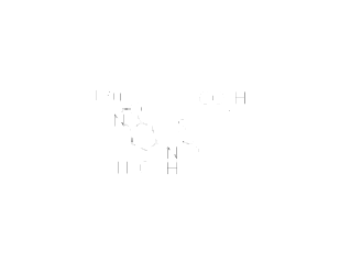 Cc1cc2nc(C(C)(C)C)oc2cc1NC(=S)SCCC(=O)O